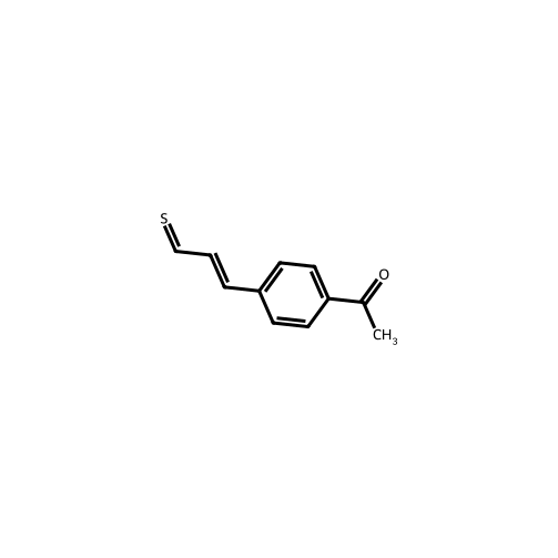 CC(=O)c1ccc(C=CC=S)cc1